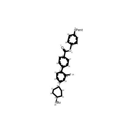 CCCCCc1ccc(OC(=O)c2ccc(-c3ccc([C@H]4CC[C@H](CCCC)CC4)cc3F)cc2)cc1